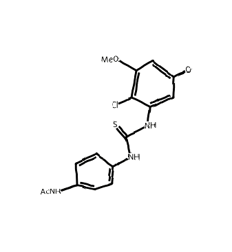 COc1cc([O])cc(NC(=S)Nc2ccc(NC(C)=O)cc2)c1Cl